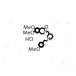 COc1ccc(CCN2CCCC(CN3CCc4cc(OC)c(OC)cc4CC3=O)C2)cc1.Cl